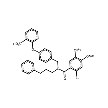 COc1cc(Cl)c(C(=O)N(CCCc2ccccc2)Cc2ccc(Oc3ccccc3C(=O)O)cc2)cc1OC